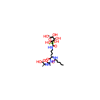 CCCCCC(=O)N[C@@H](CCCCNC(=O)C(F)(F)[C@]1(O)O[C@H](CO)[C@H](O)[C@H](O)[C@H]1O)C(=O)N[C@@H](C)C(=O)N[C@@H](C)C(=O)O